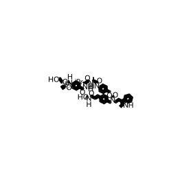 C#CP(=O)(Nc1ccc(C(=O)N[C@H](C(=O)N[C@@H](C)C(=O)Nc2ccc(COC(=O)N(CCc3c(C)[nH]c4ccccc34)Cc3ccc(/C=C/C(=O)NO)cc3)cc2)C(C)C)cc1)OCCO